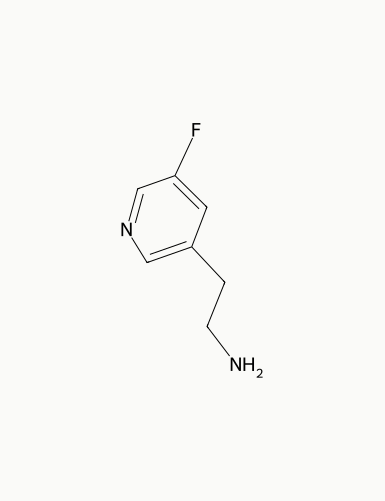 NCCc1cncc(F)c1